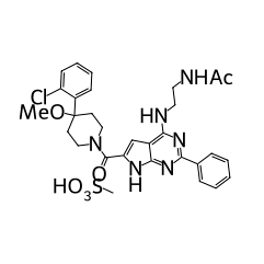 COC1(c2ccccc2Cl)CCN(C(=O)c2cc3c(NCCNC(C)=O)nc(-c4ccccc4)nc3[nH]2)CC1.CS(=O)(=O)O